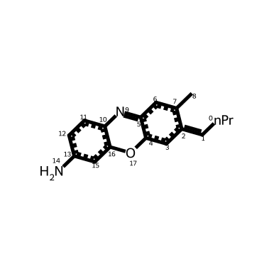 CCC/C=c1/cc2c(cc1C)=Nc1ccc(N)cc1O2